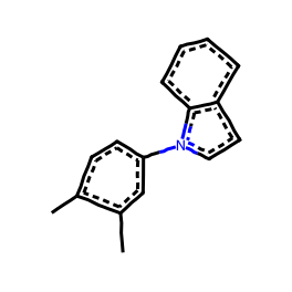 Cc1ccc(-n2ccc3ccccc32)cc1C